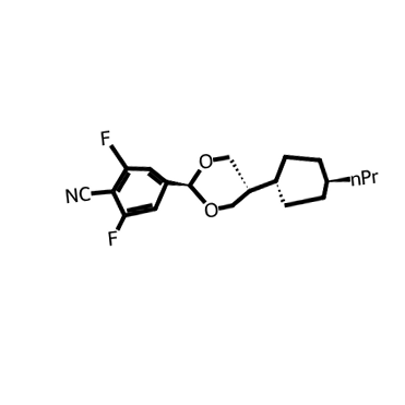 CCC[C@H]1CC[C@H]([C@H]2CO[C@H](c3cc(F)c(C#N)c(F)c3)OC2)CC1